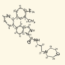 Cc1cc(-c2ncccc2-c2ccc3c(cnn3C(=O)NCCCN3CCOCC3)c2)ccc1F